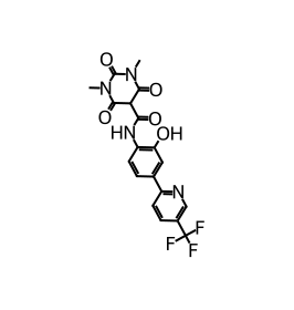 CN1C(=O)C(C(=O)Nc2ccc(-c3ccc(C(F)(F)F)cn3)cc2O)C(=O)N(C)C1=O